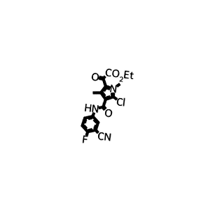 CCOC(=O)C(=O)c1c(C)c(C(=O)Nc2ccc(F)c(C#N)c2)c(Cl)n1C